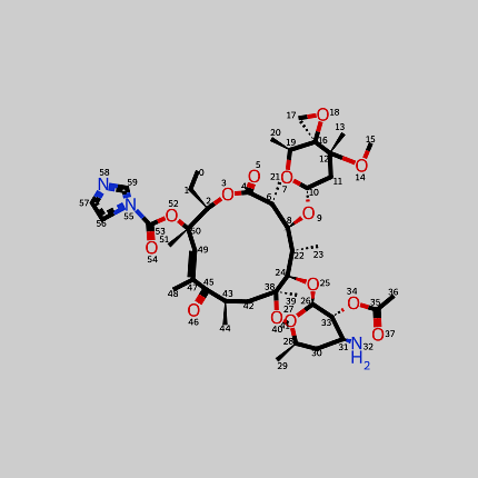 CC[C@H]1OC(=O)[C@H](C)[C@@H](O[C@H]2C[C@@](C)(OC)[C@@]3(CO3)[C@H](C)O2)[C@H](C)[C@@H](O[C@@H]2O[C@H](C)C[C@H](N)[C@H]2OC(C)=O)[C@@](C)(OC)C[C@@H](C)C(=O)/C(C)=C/[C@]1(C)OC(=O)n1ccnc1